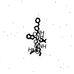 C=CCCC(NC(=O)[C@@H]1C2C(CN1C(=O)[C@@H](NC(=O)NC1CCCC(CC3CCCCC3)C1)C1Cc3ccccc3C1)C2(C)C)C(=O)C(=O)NCC=C